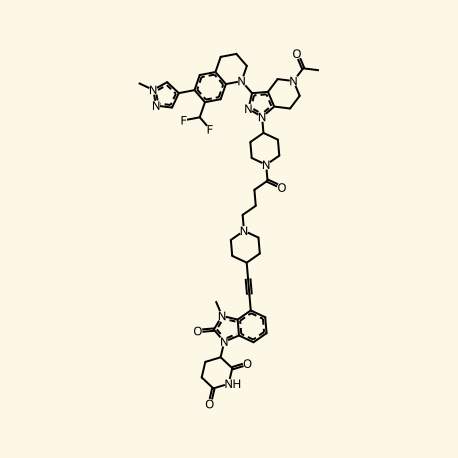 CC(=O)N1CCc2c(c(N3CCCc4cc(-c5cnn(C)c5)c(C(F)F)cc43)nn2C2CCN(C(=O)CCCN3CCC(C#Cc4cccc5c4n(C)c(=O)n5C4CCC(=O)NC4=O)CC3)CC2)C1